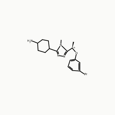 CC(C)c1cccc(O[C@H](C)c2nnc(C3CCC(N)CC3)n2C)c1